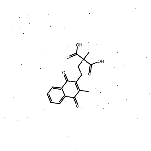 CC1=C(CCC(C)(C(=O)O)C(=O)O)C(=O)c2ccccc2C1=O